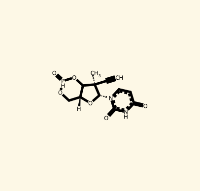 C#C[C@]1(C)C2O[PH](=O)OC[C@H]2O[C@H]1n1ccc(=O)[nH]c1=O